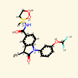 CC(C)C1C(=O)N(c2cccc(OC(F)F)c2)c2ccc(C(=O)NS3(C)CCOO3)cc21